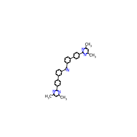 Cc1cc(C)nc(-c2ccc(-c3cccc(C4=NC4c4cccc(-c5ccc(-c6nc(C)cc(C)n6)cc5)c4)c3)cc2)n1